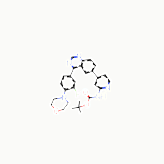 CC(C)(C)OC(=O)Nc1cc(-c2ccc3ncnc(-c4ccc(N5CCOCC5)c(F)c4)c3c2)ccn1